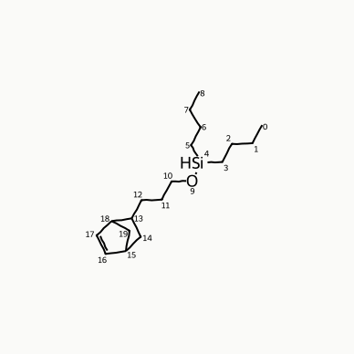 CCCC[SiH](CCCC)OCCCC1CC2C=CC1C2